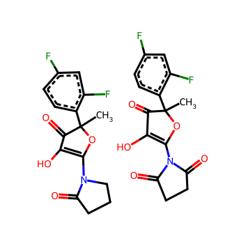 CC1(c2ccc(F)cc2F)OC(N2C(=O)CCC2=O)=C(O)C1=O.CC1(c2ccc(F)cc2F)OC(N2CCCC2=O)=C(O)C1=O